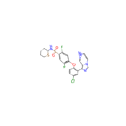 O=S(=O)(NC1CCCCS1)c1cc(F)c(Oc2ccc(Cl)cc2-c2ncn3ccncc23)cc1F